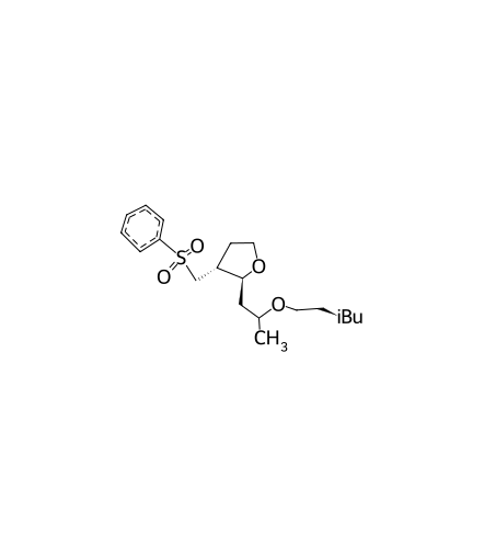 CC[C@H](C)CCOC(C)C[C@@H]1OCC[C@H]1CS(=O)(=O)c1ccccc1